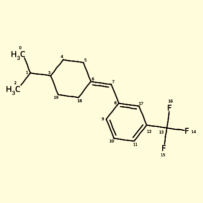 CC(C)C1CCC(=Cc2cccc(C(F)(F)F)c2)CC1